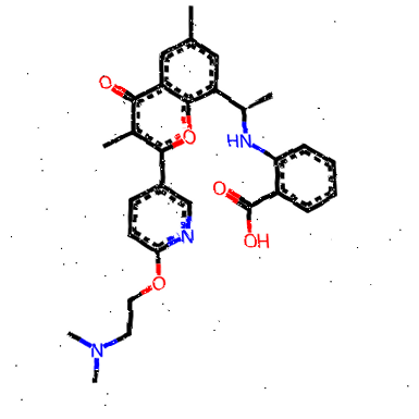 Cc1cc([C@@H](C)Nc2ccccc2C(=O)O)c2oc(-c3ccc(OCCN(C)C)nc3)c(C)c(=O)c2c1